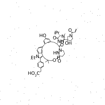 C=CC(=O)N1CCC(O)(C(=O)N(C)[C@H](C(=O)N[C@H]2Cc3cc(O)cc(c3)-c3ccc4c(c3)c(c(-c3ccc(CC(=O)O)cc3)n4CC)CC(C)(C)COC(=O)[C@@H]3CCCN(N3)C2=O)C(C)C)C1